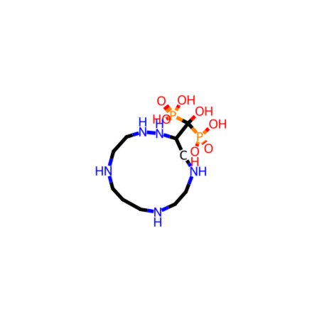 O=P(O)(O)C(O)(C1CNCCNCCCNCCNN1)P(=O)(O)O